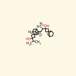 CC(C)C1(O)CC2(CC(CC(C)C3(O)CC4(CC5CCC4CC5)C3)[C@@H]3C[C@H]2C3(C)C)C1